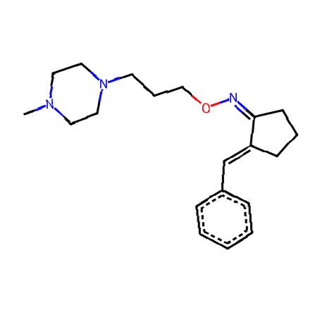 CN1CCN(CCCON=C2CCCC2=Cc2ccccc2)CC1